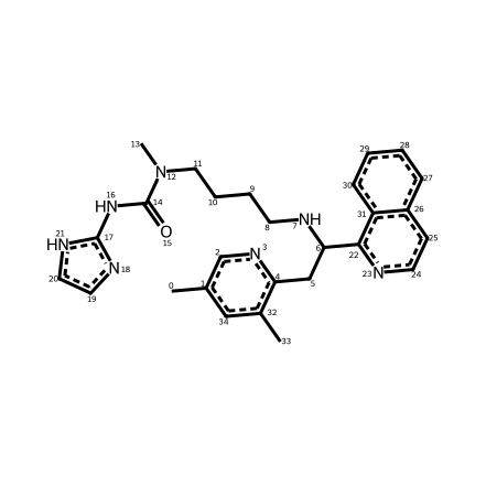 Cc1cnc(CC(NCCCCN(C)C(=O)Nc2ncc[nH]2)c2nccc3ccccc23)c(C)c1